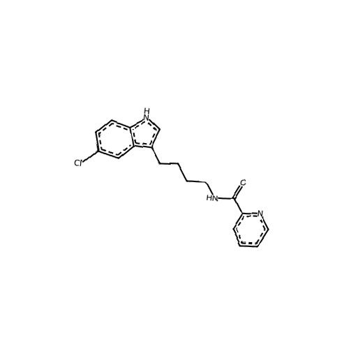 O=C(NCCCCc1c[nH]c2ccc(Cl)cc12)c1ccccn1